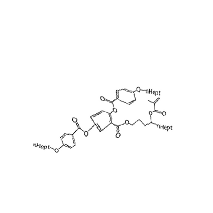 C=C(C)C(=O)OC(CCCCCCC)CCCOC(=O)c1cc(OC(=O)c2ccc(OCCCCCCC)cc2)ccc1OC(=O)c1ccc(OCCCCCCC)cc1